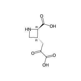 O=C(O)C(=O)C[C@@H]1CN[C@H]1C(=O)O